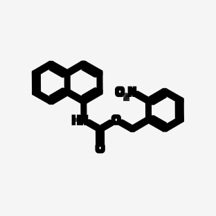 O=C(Nc1cccc2ccccc12)OCc1ccccc1[N+](=O)[O-]